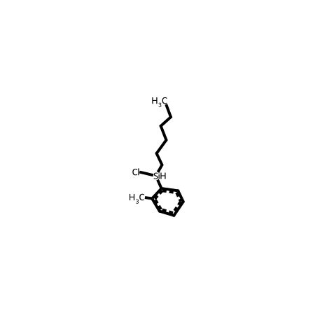 CCCCCC[SiH](Cl)c1ccccc1C